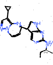 CC[C@H](C)Nc1ncc2c(-c3ccn4ncc(C5CC5)c4n3)c[nH]c2n1